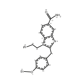 CCOc1ccc(Cc2nc3cc(C(N)=O)ccc3n2CCC(C)C)cc1